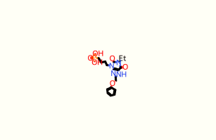 CCn1c(=O)c2[nH]c(COc3ccccc3)nc2n(CCCCP(=O)(O)O)c1=O